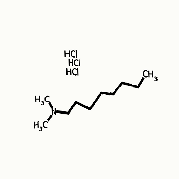 CCCCCCCCN(C)C.Cl.Cl.Cl